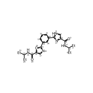 CCC(CC)NC(=O)c1c[nH]c(-c2cccc(-c3ncc(C(=O)NC(CC)CC)o3)c2)n1